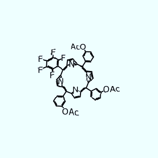 CC(=O)Oc1cccc(C2=C3C=CC(=N3)C(c3cccc(OC(C)=O)c3)=C3C=CC(=N3)C(c3c(F)c(F)c(F)c(F)c3F)=C3C=CC(=N3)C(c3cccc(OC(C)=O)c3)=C3C=CC2=N3)c1